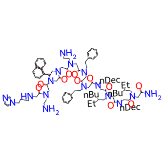 CCCCCCCCCCN(CC(=O)N(CC(=O)N(CCCCCCCCCC)CC(=O)N(CC(N)=O)CC(CC)CCCC)CC(CC)CCCC)C(=O)CN(CCc1ccccc1)C(=O)CN(CCc1ccccc1)C(=O)CN(CCN)C(=O)CN(CCc1ccccc1)C(=O)CN(CCc1ccccc1)C(=O)CN(CCN)C(=O)CNCCCn1ccnc1